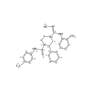 Cc1ccccc1N/C(=N/C#N)N1CCN(C(=O)Nc2ccc(C(F)(F)F)cc2)C(c2ccccc2)C1